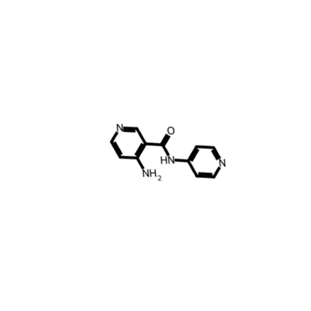 Nc1ccncc1C(=O)Nc1ccncc1